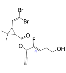 C#CC(OC(=O)C1C(C=C(Br)Br)C1(C)C)/C(F)=C/CCO